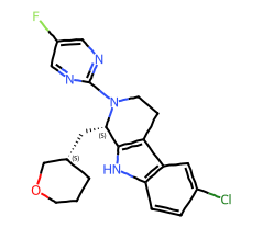 Fc1cnc(N2CCc3c([nH]c4ccc(Cl)cc34)[C@@H]2C[C@@H]2CCCOC2)nc1